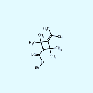 CC(C#N)=C1C(C)(C)N(C(=O)OC(C)(C)C)C1(C)C